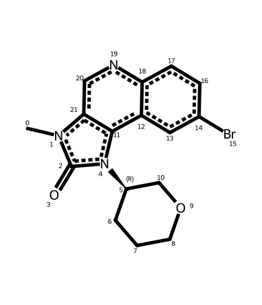 Cn1c(=O)n([C@@H]2CCCOC2)c2c3cc(Br)ccc3ncc21